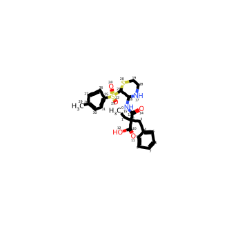 CCC(Cc1ccccc1)(C(=O)O)C(=O)NC1NCCSC1S(=O)(=O)c1ccc(C)cc1